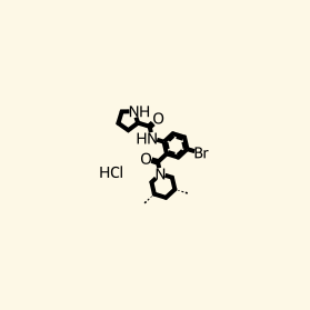 C[C@@H]1C[C@H](C)CN(C(=O)c2cc(Br)ccc2NC(=O)C2CCCN2)C1.Cl